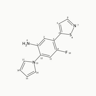 Nc1cc(-c2ccns2)c(F)cc1-n1cccc1